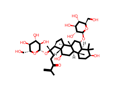 C=C(C)C(=O)CC[C@](C)(O[C@@H]1O[C@H](CO)[C@@H](O)[C@H](O)[C@H]1O)[C@H]1CC[C@]2(C)[C@@H]1[C@H](O)C[C@@H]1[C@@]3(C)CC[C@H](O)C(C)(C)[C@@H]3[C@@H](O[C@@H]3O[C@H](CO)[C@@H](O)[C@H](O)[C@H]3O)C[C@]12C